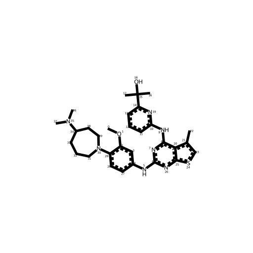 COc1cc(Nc2nc(Nc3cccc(C(C)(C)O)n3)c3c(C)csc3n2)ccc1N1CCCC(N(C)C)CC1